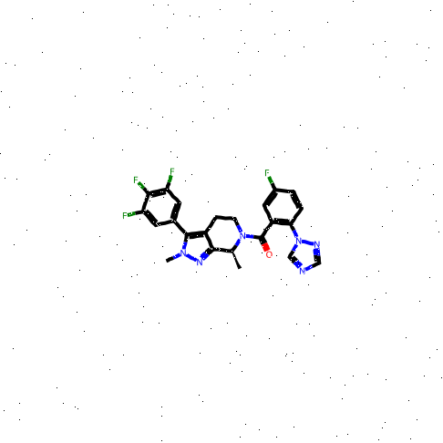 C[C@H]1c2nn(C)c(-c3cc(F)c(F)c(F)c3)c2CCN1C(=O)c1cc(F)ccc1-n1cncn1